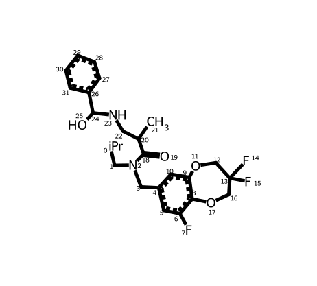 CC(C)CN(Cc1cc(F)c2c(c1)OCC(F)(F)CO2)C(=O)C(C)CNC(O)c1ccccc1